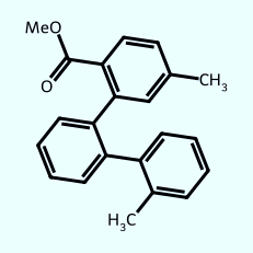 COC(=O)c1ccc(C)cc1-c1ccccc1-c1ccccc1C